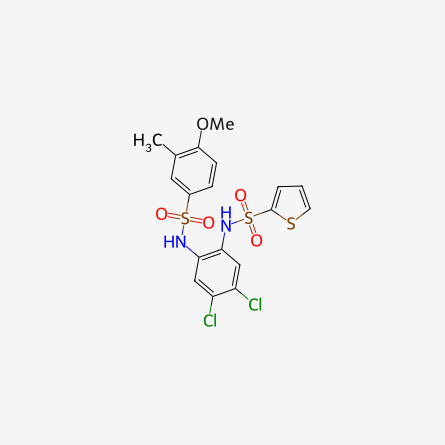 COc1ccc(S(=O)(=O)Nc2cc(Cl)c(Cl)cc2NS(=O)(=O)c2cccs2)cc1C